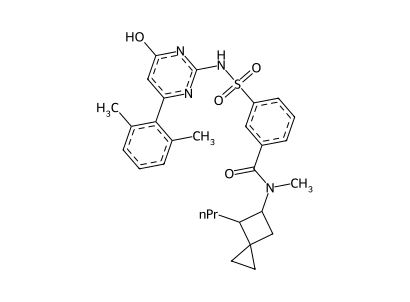 CCCC1C(N(C)C(=O)c2cccc(S(=O)(=O)Nc3nc(O)cc(-c4c(C)cccc4C)n3)c2)CC12CC2